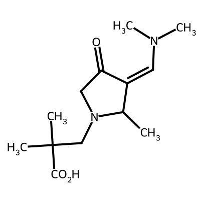 CC1C(=CN(C)C)C(=O)CN1CC(C)(C)C(=O)O